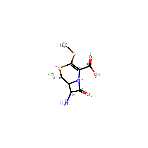 CSC1=C(C(=O)O)N2C(=O)C(N)C2CS1.Cl